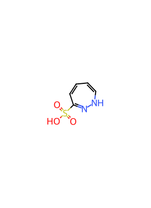 O=S(=O)(O)C1=NNC=CC=C1